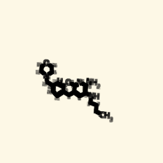 CCCCNc1cc(Cc2ccc(CN3CCOCC3)cc2)c(C)nc1N